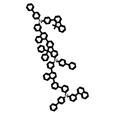 CC1(C)c2ccccc2-c2cccc(-c3ccc(N(c4ccc(-c5ccccc5)cc4)c4cccc(-c5ccc(-c6ccc7c(c6)C(c6ccccc6)(c6ccccc6)c6cc(N(c8ccc(-c9ccccc9)cc8)c8cccc(-c9ccc(-c%10cccc(-c%11cccc(N(c%12ccc(-c%13ccccc%13)cc%12)c%12cccc(-c%13cccc%14ccccc%13%14)c%12)c%11)c%10)c%10ccccc9%10)c8)ccc6-7)c6ccccc56)c4)cc3)c21